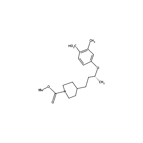 Cc1cc(O[C@H](C)CCC2CCN(C(=O)OC(C)(C)C)CC2)ccc1C(=O)O